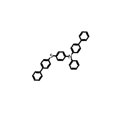 c1ccc(-c2ccc(Sc3ccc(N(c4ccccc4)c4ccc(-c5ccccc5)cc4)cc3)cc2)cc1